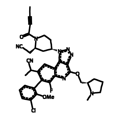 CC#CC(=O)N1CC[C@H](n2nnc3c(OC[C@@H]4CCCN4C)nc4c(F)c(-c5cccc(Cl)c5OC)c(C(C)C#N)cc4c32)C[C@H]1CC#N